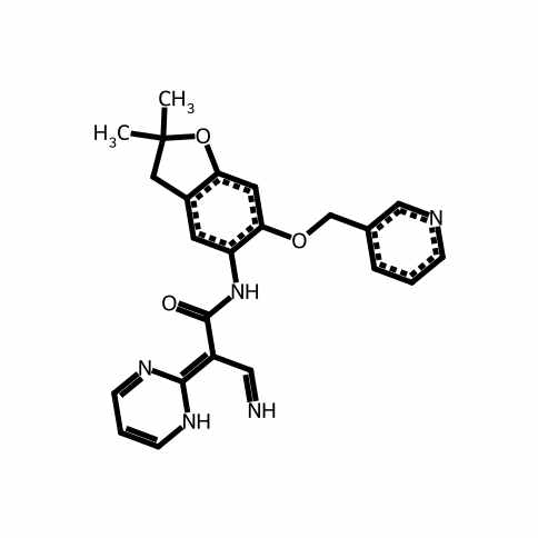 CC1(C)Cc2cc(NC(=O)/C(C=N)=C3\N=CC=CN3)c(OCc3cccnc3)cc2O1